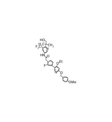 CCOc1cc(OCc2ccc(OC)cc2)ncc1-c1ccc(CC(=O)Nc2cnc(C(C)(C)CO)c(C(F)(F)F)c2)c(F)c1